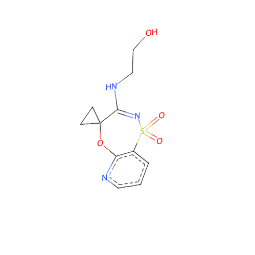 O=S1(=O)N=C(NCCO)C2(CC2)Oc2ncccc21